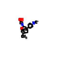 [C-]#[N+]c1ccc(C2(CC(=O)N3CC(O)C3)C3CC4CC2CC(C3)C4C)cc1